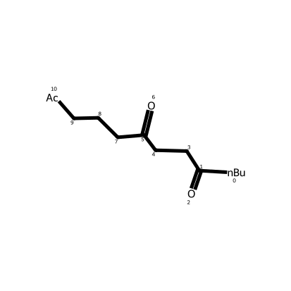 CCCCC(=O)CCC(=O)CCCC(C)=O